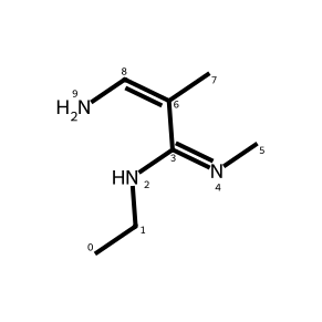 CCNC(=N/C)/C(C)=C\N